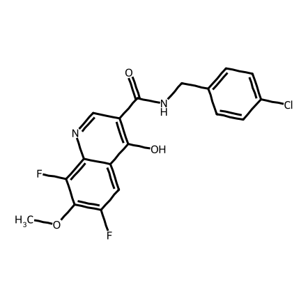 COc1c(F)cc2c(O)c(C(=O)NCc3ccc(Cl)cc3)cnc2c1F